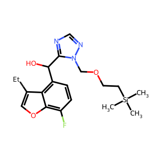 CCc1coc2c(F)ccc(C(O)c3ncnn3COCC[Si](C)(C)C)c12